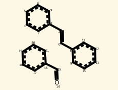 C(=Cc1ccccc1)c1ccccc1.O=Cc1ccccc1